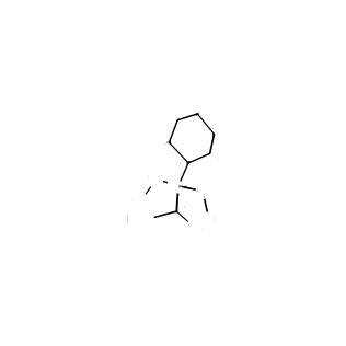 CO[Si](OC)(C(C)C)C1CCCCC1